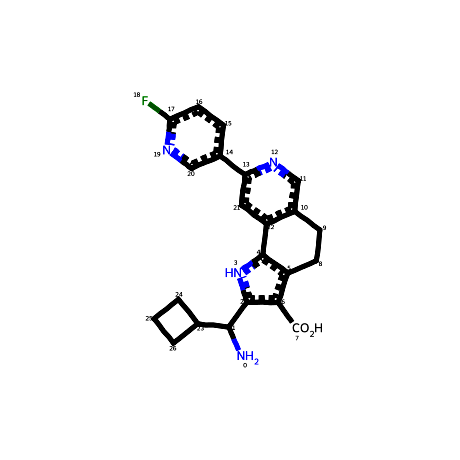 NC(c1[nH]c2c(c1C(=O)O)CCc1cnc(-c3ccc(F)nc3)cc1-2)C1CCC1